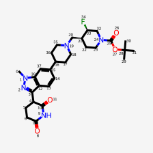 Cn1nc(C2CCC(=O)NC2=O)c2ccc(C3CCN(C[C@@H]4CCN(C(=O)OC(C)(C)C)C[C@@H]4F)CC3)cc21